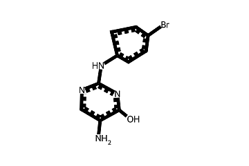 Nc1cnc(Nc2ccc(Br)cc2)nc1O